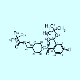 CC(C)(C)OC(=O)c1cc(Cl)ccc1S(=O)(=O)N1CCC(CNC(=O)C(F)(F)F)CC1